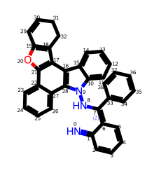 N=C1C=CC=C/C1=C(/Nn1c2ccccc2c2c3c4c(oc3c3ccccc3c21)C=CCC4)c1ccccc1